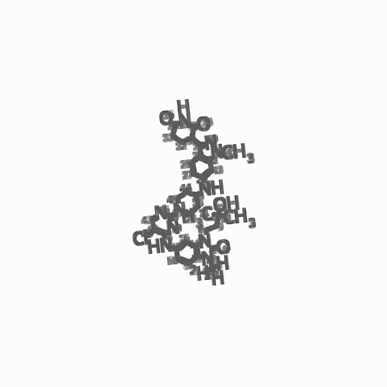 [2H]C([2H])([2H])n1c(=O)n(CCC(C)(C)O)c2cc(Nc3nc(N4CCC(Nc5ccc6c(C7CCC(=O)NC7=O)nn(C)c6c5)CC4)ncc3Cl)ccc21